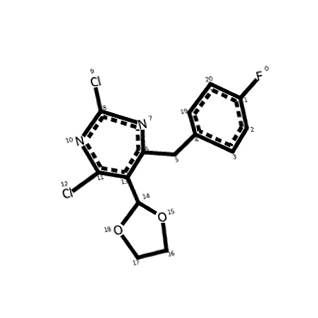 Fc1ccc(Cc2nc(Cl)nc(Cl)c2C2OCCO2)cc1